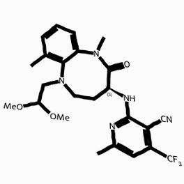 COC(CN1CC[C@H](Nc2nc(C)cc(C(F)(F)F)c2C#N)C(=O)N(C)c2cccc(C)c21)OC